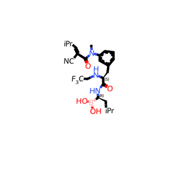 CC(C)C=C(C#N)C(=O)N(C)c1cccc(C[C@H](NCC(F)(F)F)C(=O)N[C@@H](CC(C)C)B(O)O)c1